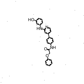 O=C(COc1ccccc1)Nc1ccc(-c2ccnc(Nc3cccc(O)c3)c2)cc1